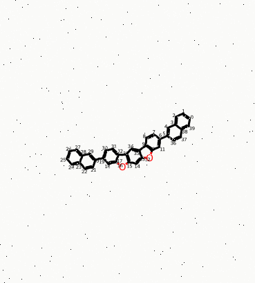 c1ccc2cc(-c3ccc4c(c3)oc3cc5oc6cc(-c7ccc8ccccc8c7)ccc6c5cc34)ccc2c1